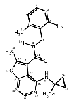 Cc1cccc(F)c1CN(I)C(=O)c1c(C)oc2ncnc(NC3(C)CC3)c12